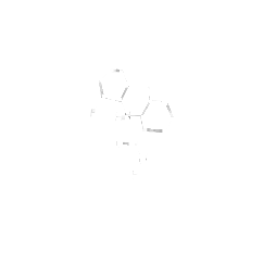 Cc1cccc(C(=O)OF)c1Nc1ccccc1F